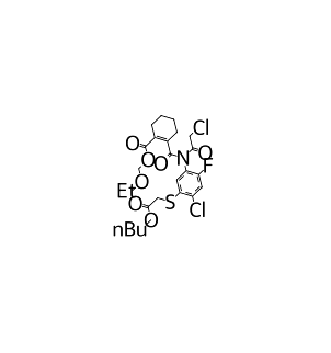 CCCCOC(=O)CSc1cc(N(C(=O)CCl)C(=O)C2=C(C(=O)OCOCC)CCCC2)c(F)cc1Cl